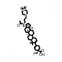 CC(=O)N(CCCN1CCS(=O)(=O)CC1)C[C@]12CCC[C@@H]1[C@H]1CCC3[C@@]4(C)CC=C(C5=CC[C@@](CF)(C(=O)O)CC5)C(C)(C)C4CC[C@@]3(C)[C@]1(C)CC2